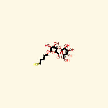 OCC1O[C@@H](OCCCCCS)C(O)[C@@H](O)[C@@H]1O[C@@H]1OC(CO)[C@H](O)[C@H](O)C1O